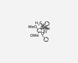 CCC(C)(Pc1ccccc1N(C)C)c1cc(OC)cc(OC)c1OCc1ccccc1